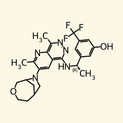 Cc1nc2c(C)nnc(N[C@H](C)c3cc(O)cc(C(F)(F)F)c3)c2cc1N1CC2CCOCC1C2